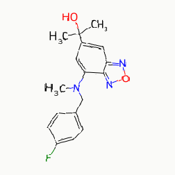 CN(Cc1ccc(F)cc1)c1cc(C(C)(C)O)cc2nonc12